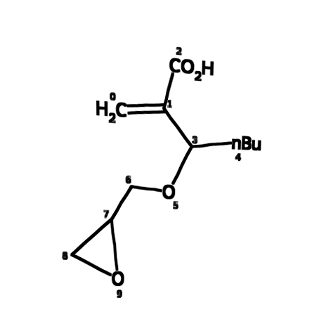 C=C(C(=O)O)C(CCCC)OCC1CO1